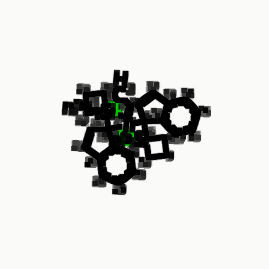 C[CH]=[Ti]([Cl])([Cl])([C]1([Si]2(CCC)CCC2)C=Cc2ccccc21)[C]1([Si]2(CCC)CCC2)C=Cc2ccccc21